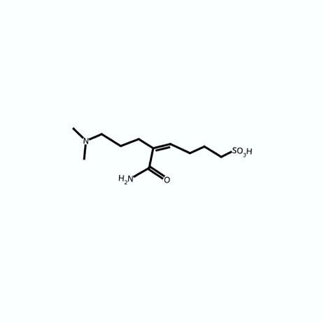 CN(C)CCCC(=CCCCS(=O)(=O)O)C(N)=O